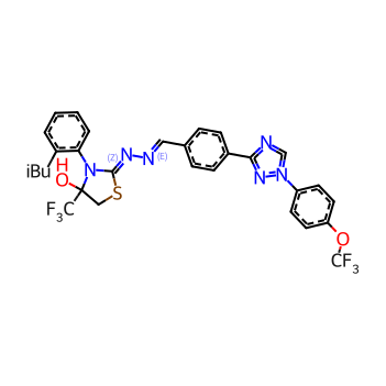 CCC(C)c1ccccc1N1/C(=N/N=C/c2ccc(-c3ncn(-c4ccc(OC(F)(F)F)cc4)n3)cc2)SCC1(O)C(F)(F)F